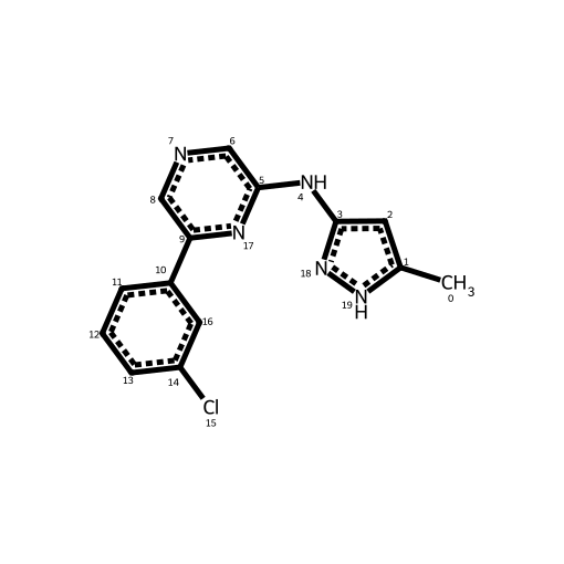 Cc1cc(Nc2cncc(-c3cccc(Cl)c3)n2)n[nH]1